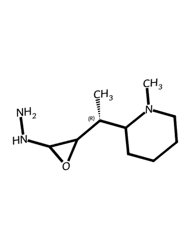 C[C@@H](C1OC1NN)C1CCCCN1C